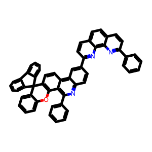 c1ccc(-c2ccc3ccc4ccc(-c5ccc6nc(-c7ccccc7)c7c8c(ccc7c6c5)C5(c6ccccc6O8)c6ccccc6-c6ccccc65)nc4c3n2)cc1